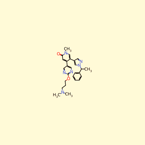 CC(c1ccccc1)n1cc(-c2cn(C)c(=O)cc2-c2cnc(OCCCN(C)C)nc2)cn1